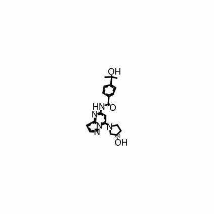 CC(C)(O)c1ccc(C(=O)Nc2cc(N3CC[C@H](O)C3)n3nccc3n2)cc1